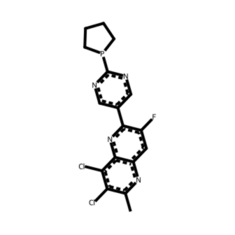 Cc1nc2cc(F)c(-c3cnc(P4CCCC4)nc3)nc2c(Cl)c1Cl